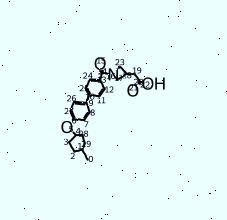 CC1CCC(Oc2ccc(-c3ccc(C(=O)N4CC(CC(=O)O)C4)cc3)cc2)CC1